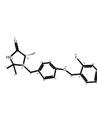 C[C@H]1C(=O)NC(C)(C)N1Cc1ccc(OCc2ccccc2F)cc1